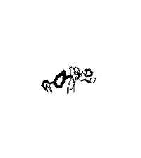 O=CCC[C@H](NC(=O)c1ccc(-c2ccccn2)cc1)C(=O)N1CCCCC1